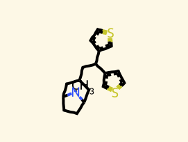 CN1C2CCC1CC(CC(c1ccsc1)c1ccsc1)C2